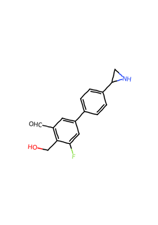 O=Cc1cc(-c2ccc(C3CN3)cc2)cc(F)c1CO